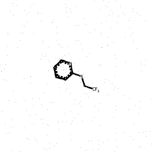 FC(F)(F)CSc1ccccn1